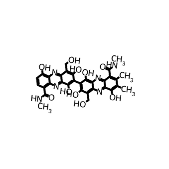 CNC(=O)c1ccc(O)c2nc3c(CO)c(O)c(-c4c(O)c(CO)c5nc6c(O)c(C)c(C)c(C(=O)NC)c6nc5c4O)c(O)c3nc12